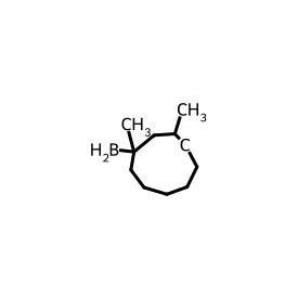 BC1(C)CCCCCCC(C)C1